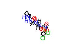 CC(C)(C)[C@H](NC(=O)c1cc2ccccc2[nH]1)C(=O)N1C[C@@H]2C[C@H]1CN2C(=O)[C@@H]1COCCN1S(=O)(=O)c1ccc(Cl)cc1Cl